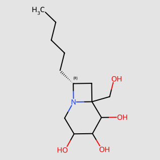 CCCCC[C@@H]1CC2(CO)C(O)C(O)C(O)CN12